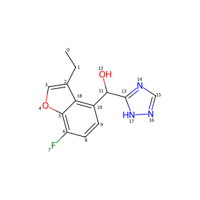 CCc1coc2c(F)ccc(C(O)c3ncn[nH]3)c12